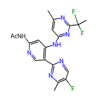 CC(=O)Nc1cc(Nc2cc(C)nc(C(C)(F)F)n2)c(-c2ncc(F)c(C)n2)cn1